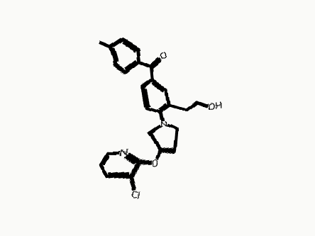 Cc1ccc(C(=O)c2ccc(N3CCC(Oc4ncccc4Cl)C3)c(CCO)c2)cc1